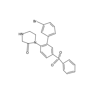 O=C1CNCCN1c1ccc(S(=O)(=O)c2ccccc2)cc1-c1cccc(Br)c1